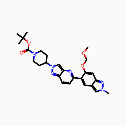 COCOc1cc2nn(C)cc2cc1-c1ccc2nn(C3CCN(C(=O)OC(C)(C)C)CC3)cc2n1